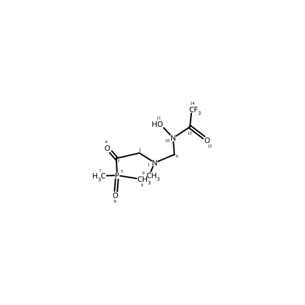 CN(CC(=O)P(C)(C)=O)CN(O)C(=O)C(F)(F)F